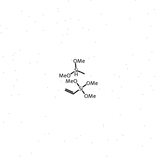 C=C[Si](OC)(OC)OC.CO[SiH](C)OC